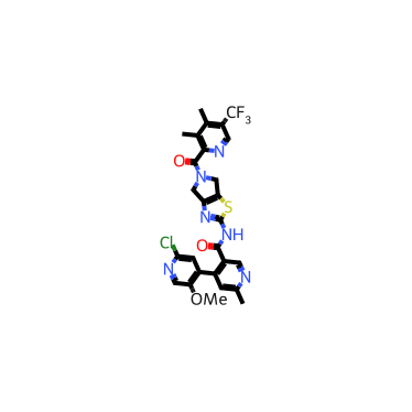 COc1cnc(Cl)cc1-c1cc(C)ncc1C(=O)Nc1nc2c(s1)CN(C(=O)c1ncc(C(F)(F)F)c(C)c1C)C2